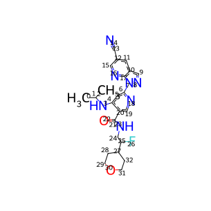 CC(C)Nc1cc(-n2ncc3cc(C#N)cnc32)ncc1C(=O)NCC(F)C1CCOCC1